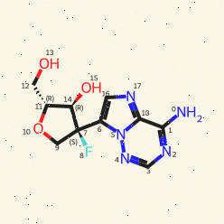 Nc1ncnn2c([C@]3(F)CO[C@H](CO)[C@H]3O)cnc12